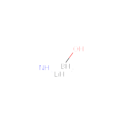 BO.N.[LiH]